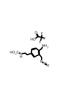 O=C(O)C(F)(F)F.[N-]=[N+]=NCc1cc(CCNC(=O)O)ccc1CN